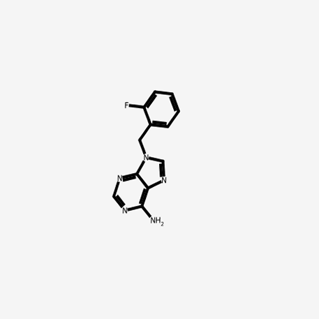 Nc1ncnc2c1ncn2Cc1ccccc1F